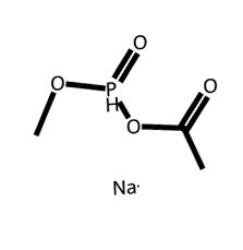 CO[PH](=O)OC(C)=O.[Na]